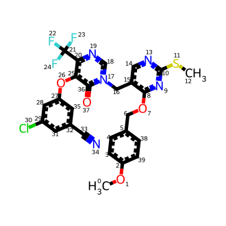 COc1ccc(COc2nc(SC)ncc2Cn2cnc(C(F)(F)F)c(Oc3cc(Cl)cc(C#N)c3)c2=O)cc1